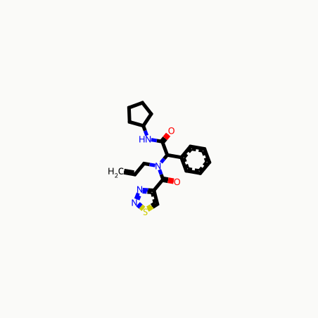 C=CCN(C(=O)c1csnn1)C(C(=O)NC1CCCC1)c1ccccc1